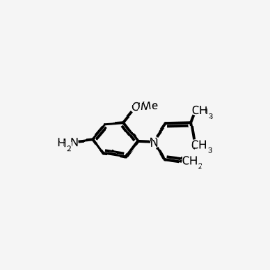 C=CN(C=C(C)C)c1ccc(N)cc1OC